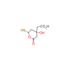 O=C(O)CC1(O)CC(=O)OC(S)C1